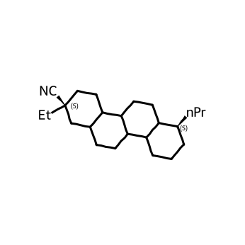 CCC[C@H]1CCCC2C3CCC4C[C@](C#N)(CC)CCC4C3CCC21